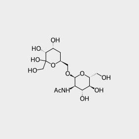 CC(=O)N[C@H]1[C@@H](OC[C@@H]2C[C@@H](O)[C@@H](O)C(O)(CO)O2)O[C@H](CO)[C@@H](O)[C@@H]1O